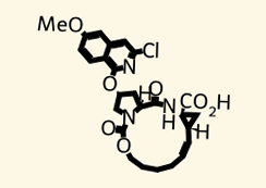 COc1ccc2c(O[C@@H]3C[C@H]4C(=O)N[C@]5(C(=O)O)C[C@H]5/C=C\CCCCOC(=O)N4C3)nc(Cl)cc2c1